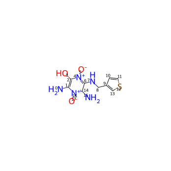 Nc1c(O)[n+]([O-])c(NCc2ccsc2)c(N)[n+]1[O-]